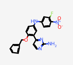 Nc1nccc(-c2cc(Nc3ccc([N+](=O)[O-])c(F)c3)ccc2OCc2ccccc2)n1